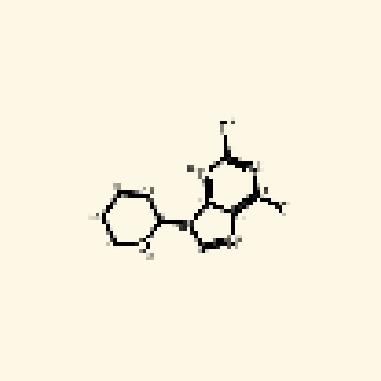 Fc1nc(Cl)c2ncn(C3CCCCO3)c2n1